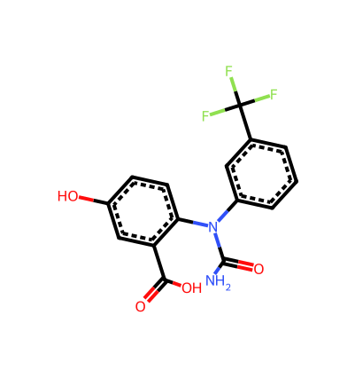 NC(=O)N(c1cccc(C(F)(F)F)c1)c1ccc(O)cc1C(=O)O